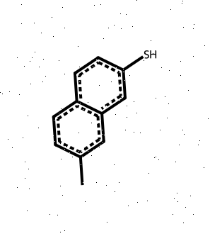 Cc1ccc2ccc(S)cc2c1